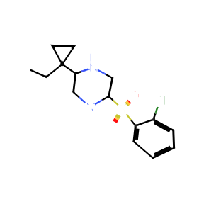 CCC1(C2CNC(S(=O)(=O)c3ccccc3Cl)CN2)CC1